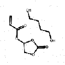 C=CC(=O)OC1COC(=O)O1.OCCCCO